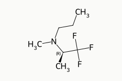 CCCN(C)[C@H](C)C(F)(F)F